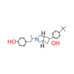 CC(Cc1ccc(O)cc1)N1C[C@@H]2C[C@@](O)(c3ccc(C(C)(C)C)cc3)C[C@@H]2C1